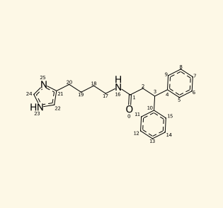 O=C(CC(c1ccccc1)c1ccccc1)NCCCCc1c[nH]cn1